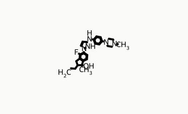 C=CCC1Cc2c(ccc(N3C=CC(Nc4ccc(N5CCN(C)CC5)cc4)N3)c2F)C1(C)O